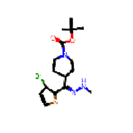 CN/N=C(\C1CCN(C(=O)OC(C)(C)C)CC1)C1SC=CC1Br